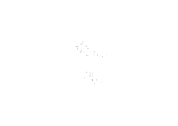 COC(=O)N[C@H]1CC[C@@H](Oc2cc(N3CCOCC3)cc3ncc(=O)n(C)c23)CC1